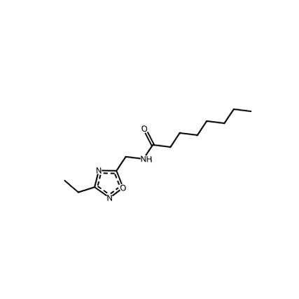 CCCCCCCC(=O)NCc1nc(CC)no1